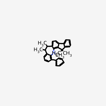 CC1c2cccc(-c3ccccc3)c2N(C)c2c(ccc3c2C(C)(C)c2ccccc2-3)C1C